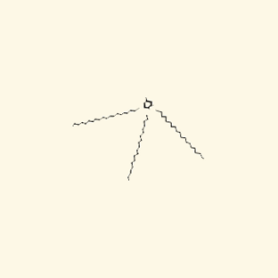 [CH2]c1cc(SCCCCCCCCCCCCCCCCCCCC)c(SCCCCCCCCCCCCCCCCCCCC)c(SCCCCCCCCCCCCCCCCCCCC)c1